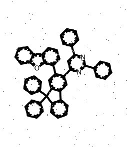 c1ccc(-c2cc(-c3cc4c(cc3-c3cccc5c3oc3ccccc35)C(c3ccccc3)(c3ccccc3)c3ccccc3-4)nc(-c3ccccc3)n2)cc1